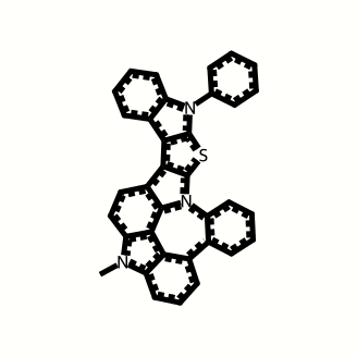 Cn1c2cccc3c4ccccc4n4c5sc6c(c7ccccc7n6-c6ccccc6)c5c5ccc1c(c32)c54